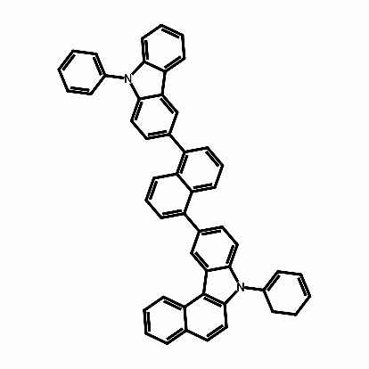 C1=CCCC(n2c3ccc(-c4cccc5c(-c6ccc7c(c6)c6ccccc6n7-c6ccccc6)cccc45)cc3c3c4ccccc4ccc32)=C1